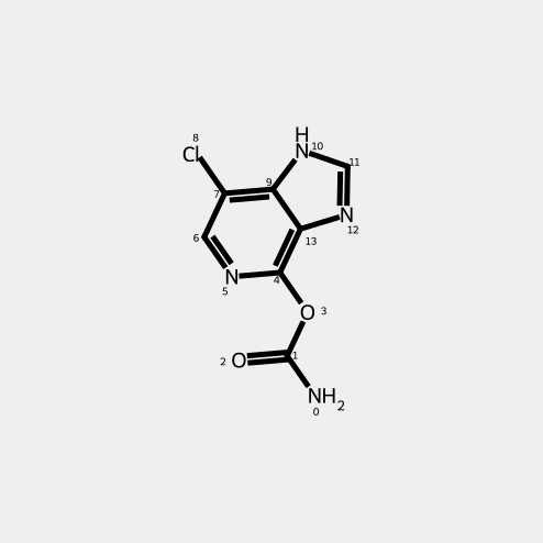 NC(=O)Oc1ncc(Cl)c2[nH]cnc12